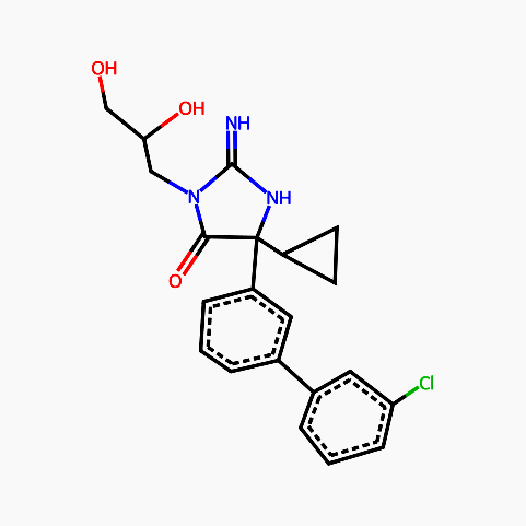 N=C1NC(c2cccc(-c3cccc(Cl)c3)c2)(C2CC2)C(=O)N1CC(O)CO